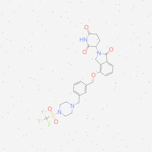 O=C1CCC(N2Cc3c(OCc4cccc(CN5CCN(S(=O)(=O)C(F)(F)F)CC5)c4)cccc3C2=O)C(=O)N1